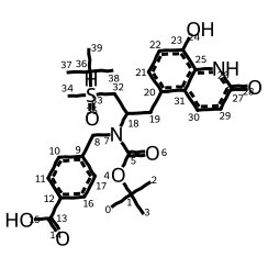 CC(C)(C)OC(=O)N(Cc1ccc(C(=O)O)cc1)C(Cc1ccc(O)c2[nH]c(=O)ccc12)C[SH](C)(=O)C(C)(C)C